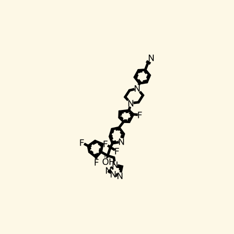 N#Cc1ccc(N2CCN(c3ccc(-c4ccc(C(F)(F)[C@](O)(Cn5cnnn5)c5ccc(F)cc5F)nc4)cc3F)CC2)cc1